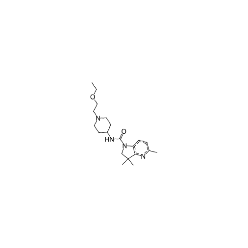 CCOCCN1CCC(NC(=O)N2CC(C)(C)c3nc(C)ccc32)CC1